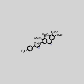 COc1cc(/C=C\c2cc(Br)c(OC)c(N/C=C\C(=O)c3ccc(C(F)(F)F)cc3)c2)cc(OC)c1OC